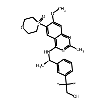 COc1cc2nc(C)nc(N[C@H](C)c3cccc(C(F)(F)CO)c3)c2cc1P1(=O)CCOCC1